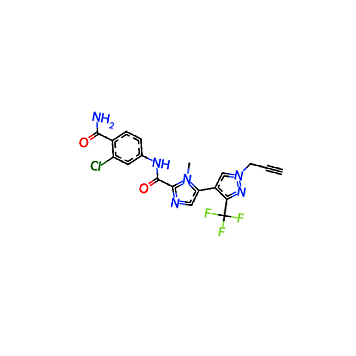 C#CCn1cc(-c2cnc(C(=O)Nc3ccc(C(N)=O)c(Cl)c3)n2C)c(C(F)(F)F)n1